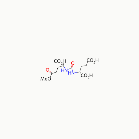 COC(=O)CCC(NC(=O)NC(CCC(=O)O)C(=O)O)C(=O)O